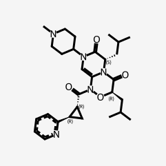 CC(C)C[C@H]1ON(C(=O)[C@@H]2C[C@H]2c2ccccn2)C2=CN(C3CCN(C)CC3)C(=O)[C@H](CC(C)C)N2C1=O